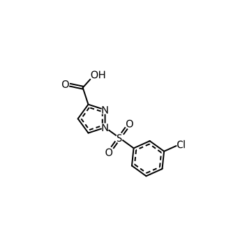 O=C(O)c1ccn(S(=O)(=O)c2cccc(Cl)c2)n1